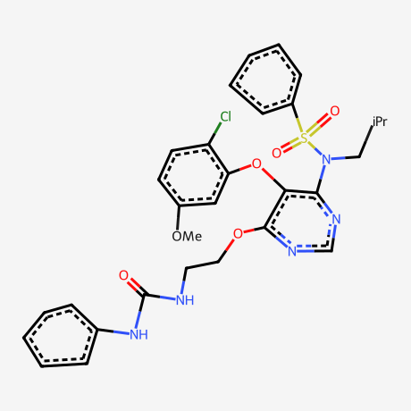 COc1ccc(Cl)c(Oc2c(OCCNC(=O)Nc3ccccc3)ncnc2N(CC(C)C)S(=O)(=O)c2ccccc2)c1